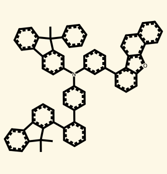 CC1(C)c2ccccc2-c2cccc(-c3ccccc3-c3ccc(N(c4cccc(-c5cccc6oc7c8ccccc8ccc7c56)c4)c4ccc5c(c4)C(C)(c4ccccc4)c4ccccc4-5)cc3)c21